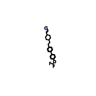 FC(F)Oc1ccc(-c2ccc(CCC3CCC(/C=C/Cl)CC3)cc2)cc1